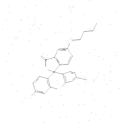 CCCCNc1ccc2c(c1)C(=O)OC21c2ccc(O)cc2Oc2cc(O)ccc21